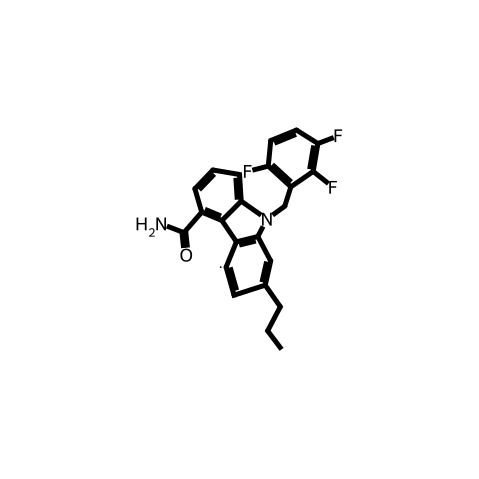 CCCc1c[c]c2c3c(C(N)=O)cccc3n(Cc3c(F)ccc(F)c3F)c2c1